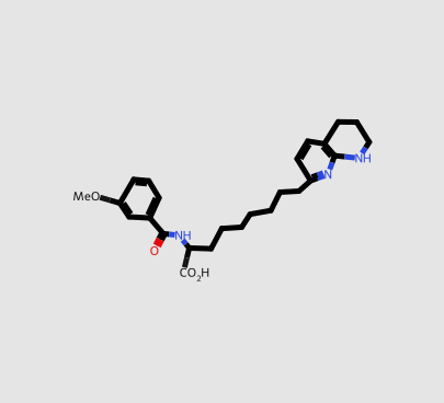 COc1cccc(C(=O)NC(CCCCCCCc2ccc3c(n2)NCCC3)C(=O)O)c1